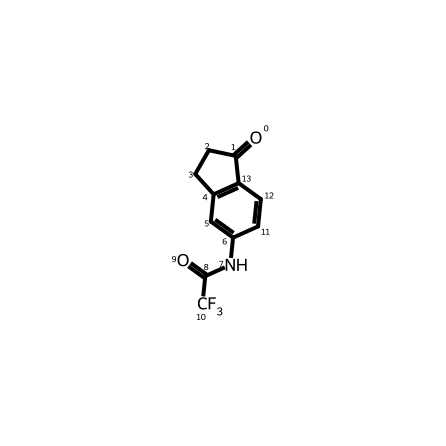 O=C1CCc2cc(NC(=O)C(F)(F)F)ccc21